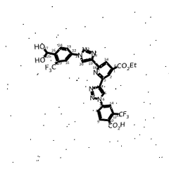 CCOC(=O)c1cc(-c2cn(-c3ccc(C(=O)O)c(C(F)(F)F)c3)nn2)nc(-c2cn(-c3ccc(C(O)O)c(C(F)(F)F)c3)nn2)c1